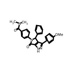 COc1ccc(-c2n[nH]c3c2C(c2ccccc2)N(c2ccc(C(=O)N(C)C)cc2)C3=O)cc1